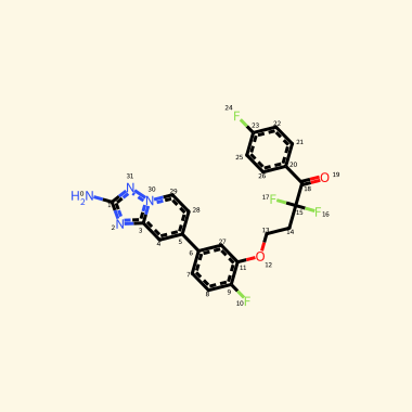 Nc1nc2cc(-c3ccc(F)c(OCCC(F)(F)C(=O)c4ccc(F)cc4)c3)ccn2n1